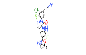 CNC(=O)c1ccc(NC2(C(=O)Nc3ccc(C#N)c(Cl)c3F)CCC2)cc1F